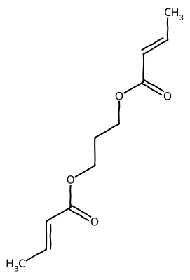 CC=CC(=O)OCCCOC(=O)C=CC